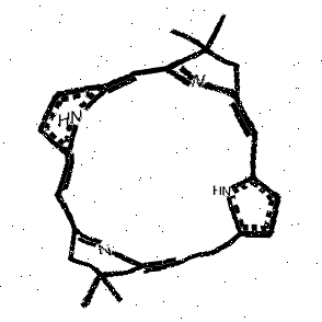 CC1(C)C/C2=C/c3ccc([nH]3)C/C=C3N=C(/C=c4/cc/c([nH]4)=C/C1=N2)CC\3(C)C